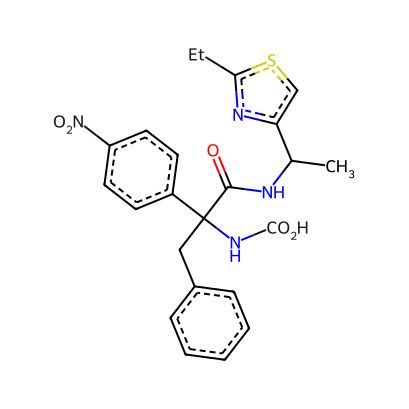 CCc1nc(C(C)NC(=O)C(Cc2ccccc2)(NC(=O)O)c2ccc([N+](=O)[O-])cc2)cs1